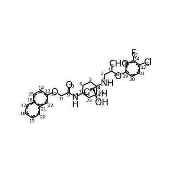 O=CC(CNC12CCC(NC(=O)COc3ccc4ccccc4c3)(CC1)C[C@@H]2O)Oc1ccc(Cl)c(F)c1